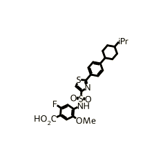 COc1cc(C(=O)O)c(F)cc1NS(=O)(=O)c1csc(-c2ccc(C3CCC(C(C)C)CC3)cc2)n1